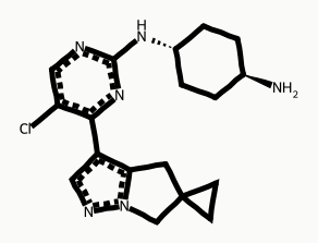 N[C@H]1CC[C@H](Nc2ncc(Cl)c(-c3cnn4c3CC3(CC3)C4)n2)CC1